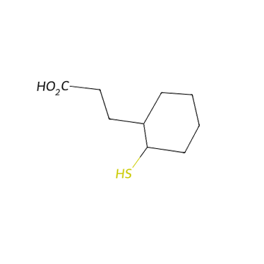 O=C(O)CCC1CCCCC1S